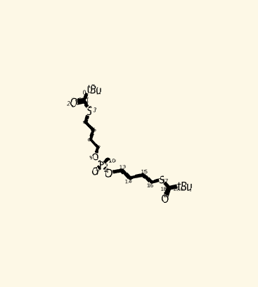 CC(C)(C)C(=O)SCCCCOP(C)(=O)OCCCCSC(=O)C(C)(C)C